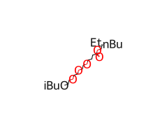 CCCCC(CC)COC(=O)CCCOCCOCCOCCOCC(C)C